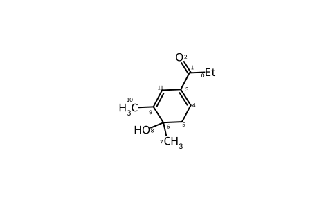 CCC(=O)C1=CCC(C)(O)C(C)=C1